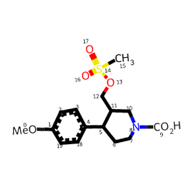 COc1ccc(C2CCN(C(=O)O)CC2COS(C)(=O)=O)cc1